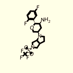 N[C@H]1C[C@@H](N2CCC3CN(S(=O)(=O)C(F)(F)F)CC32)CO[C@@H]1c1cc(F)ccc1F